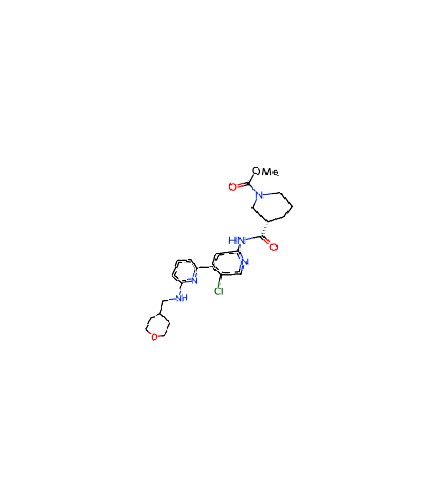 COC(=O)N1CCC[C@H](C(=O)Nc2cc(-c3cccc(NCC4CCOCC4)n3)c(Cl)cn2)C1